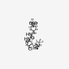 CC1(C)Cc2c(-c3cc(NC(=O)N[C@H]4CC45CCN(S(C)(=O)=O)CC5)ncc3Cl)cnn2C1